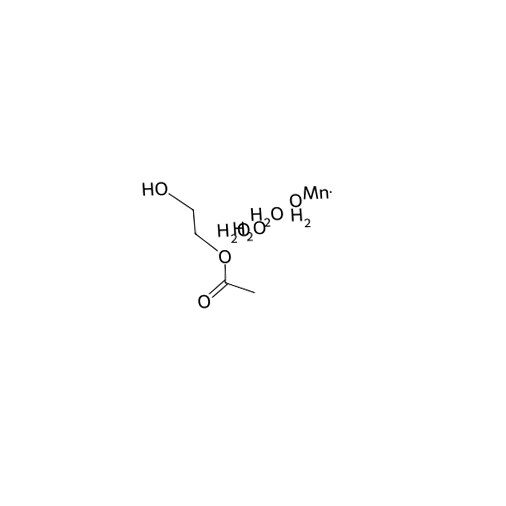 CC(=O)OCCO.O.O.O.O.[Mn]